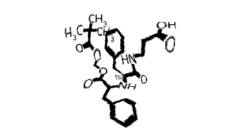 CC(C)(C)C(=O)OCOC(=O)C(Cc1ccccc1)N[C@@H](Cc1ccccc1)C(=O)NCCC(=O)O